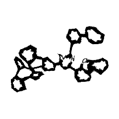 c1ccc(-c2cccc(-c3nc(-c4ccc5c(c4)-c4ccccc4C54c5ccccc5-c5ccccc5-c5ccccc54)cc(-c4cccc5c4oc4ccccc45)n3)c2)cc1